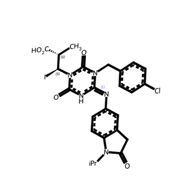 CC(C)N1C(=O)Cc2cc(/N=c3\[nH]c(=O)n([C@@H](I)[C@@H](C)C(=O)O)c(=O)n3Cc3ccc(Cl)cc3)ccc21